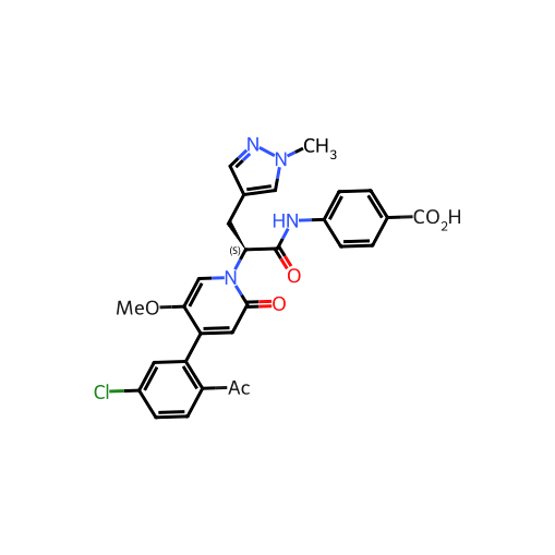 COc1cn([C@@H](Cc2cnn(C)c2)C(=O)Nc2ccc(C(=O)O)cc2)c(=O)cc1-c1cc(Cl)ccc1C(C)=O